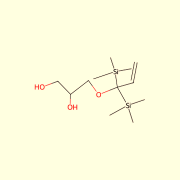 C=CC(OCC(O)CO)([Si](C)(C)C)[Si](C)(C)C